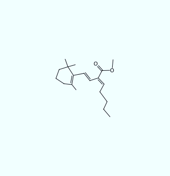 CCCC/C=C(\C=C\C1=C(C)CCCC1(C)C)C(=O)OC